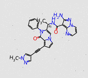 C[C@@H](NC(=O)c1c(N)nn2cccnc12)c1cn2ccc(C#Cc3cnn(C)c3)c2c(=O)n1-c1ccccc1